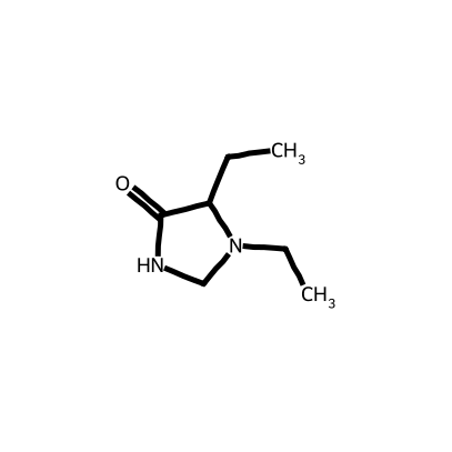 CCC1C(=O)NCN1CC